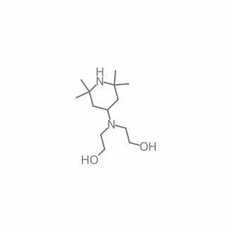 CC1(C)CC(N(CCO)CCO)CC(C)(C)N1